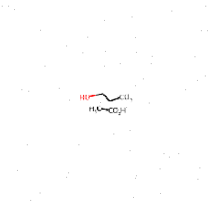 CC(=O)O.OCCC(Cl)(Cl)Cl